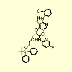 CC(C)(C)[Si](OCCOC[C@H](Oc1ncnc2c1cnn2-c1ccccc1Cl)C(=O)Nc1ccc(F)cn1)(c1ccccc1)c1ccccc1